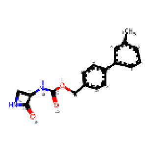 Cc1cccc(-c2ccc(COC(=O)NC3CNC3=O)cc2)c1